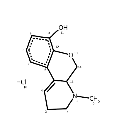 CN1CCC=C2c3cccc(O)c3OCC21.Cl